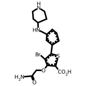 NC(=O)COc1c(C(=O)O)sc(-c2cccc(NC3CCNCC3)c2)c1Br